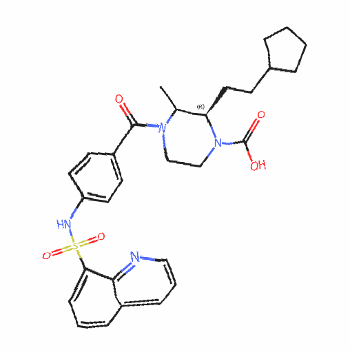 CC1[C@@H](CCC2CCCC2)N(C(=O)O)CCN1C(=O)c1ccc(NS(=O)(=O)c2cccc3cccnc23)cc1